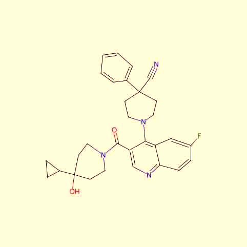 N#CC1(c2ccccc2)CCN(c2c(C(=O)N3CCC(O)(C4CC4)CC3)cnc3ccc(F)cc23)CC1